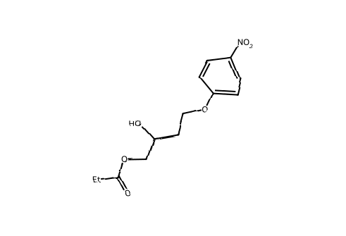 CCC(=O)OCC(O)CCOc1ccc([N+](=O)[O-])cc1